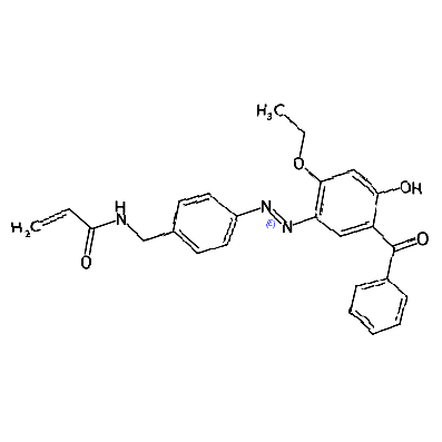 C=CC(=O)NCc1ccc(/N=N/c2cc(C(=O)c3ccccc3)c(O)cc2OCC)cc1